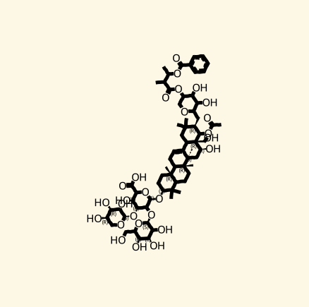 CC(=O)OC1[C@H](CC2OCC(OC(=O)C(C)C(C)OC(=O)c3ccccc3)C(O)C2O)C(C)(C)CC2C3=CCC4[C@@]5(C)CC[C@H](O[C@@H]6OC(C(=O)O)[C@@H](O)[C@@H](O[C@@H]7OC[C@@H](O)[C@@H](O)C7O)C6O[C@@H]6OC(CO)[C@H](O)[C@@H](O)C6O)C(C)(C)C5CC[C@@]4(C)[C@]3(C)C[C@@H](O)[C@]21CO